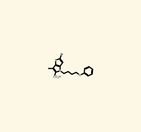 O=C(O)c1c(I)c2sc(Br)cc2n1CCCCOc1ccccc1